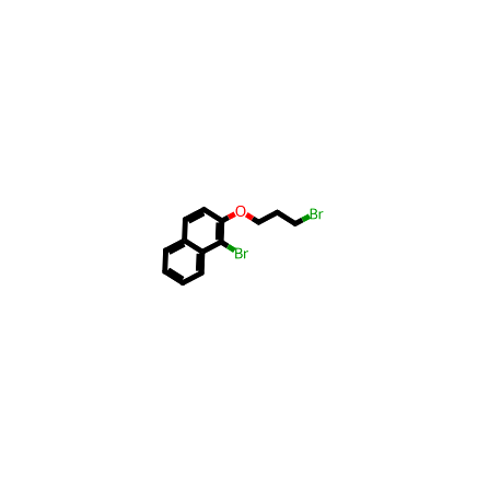 BrCCCOc1ccc2ccccc2c1Br